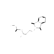 C[C@H](CCON1C(=O)c2ccccc2C1=O)NC(=O)OC(C)(C)C